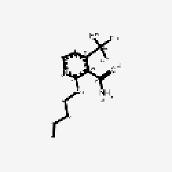 CCCCSc1nccc(C(F)(F)F)c1C(N)=O